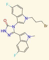 Cn1cc(-c2n[nH]c(=O)n2-c2cn(CCCBr)c3ccc(F)cc23)c2cc(F)ccc21